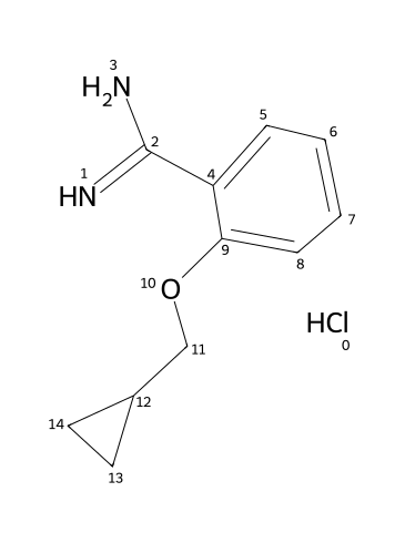 Cl.N=C(N)c1ccccc1OCC1CC1